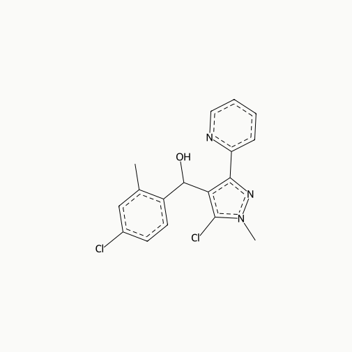 Cc1cc(Cl)ccc1C(O)c1c(-c2ccccn2)nn(C)c1Cl